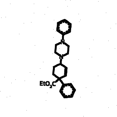 CCOC(=O)C1(c2ccccc2)C=CC(N2CCN(c3ccccc3)CC2)CC1